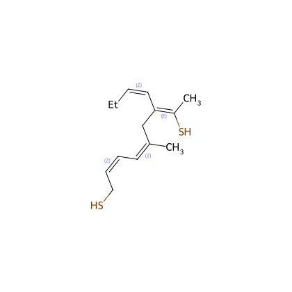 CC/C=C\C(C/C(C)=C\C=C/CS)=C(/C)S